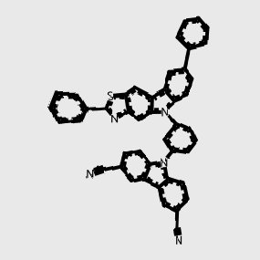 N#Cc1ccc2c(c1)c1cc(C#N)ccc1n2-c1cccc(-n2c3ccc(-c4ccccc4)cc3c3cc4sc(-c5ccccc5)nc4cc32)c1